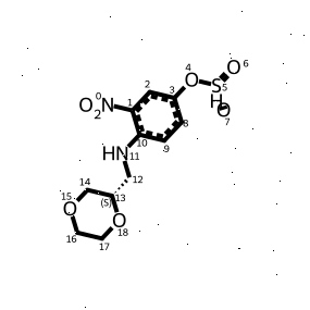 O=[N+]([O-])c1cc(O[SH](=O)=O)ccc1NC[C@H]1COCCO1